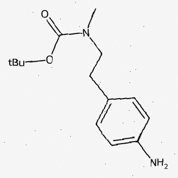 CN(CCc1ccc(N)cc1)C(=O)OC(C)(C)C